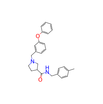 Cc1ccc(CNC(=O)C2CCN(Cc3cccc(Oc4ccccc4)c3)C2)cc1